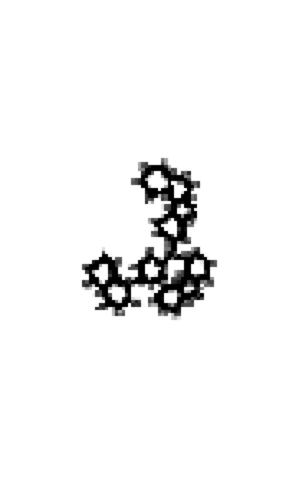 c1ccc2c(-c3ccc(N(c4ccc5c(c4)sc4ccc6ccccc6c45)c4cccc5sc6ccccc6c45)cc3)cccc2c1